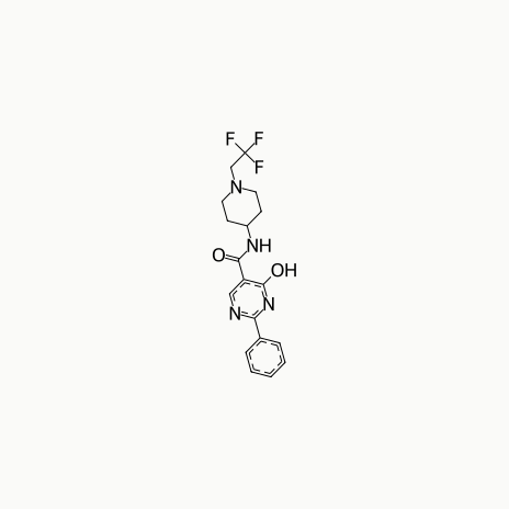 O=C(NC1CCN(CC(F)(F)F)CC1)c1cnc(-c2ccccc2)nc1O